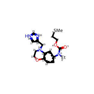 CCN(C(=O)OCCSC)c1ccc2c(c1)N(Cc1c[nH]cn1)CCO2